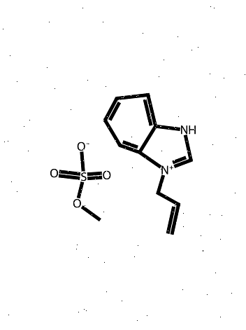 C=CC[n+]1c[nH]c2ccccc21.COS(=O)(=O)[O-]